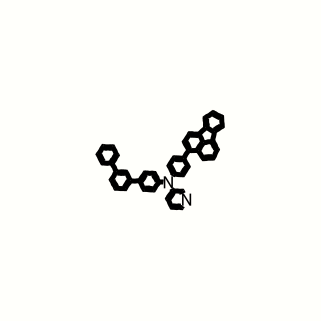 c1ccc(-c2cccc(-c3ccc(N(c4ccc(-c5ccc6c7c(cccc57)-c5ccccc5-6)cc4)c4cccnc4)cc3)c2)cc1